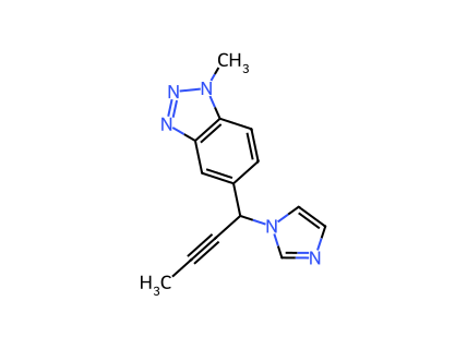 CC#CC(c1ccc2c(c1)nnn2C)n1ccnc1